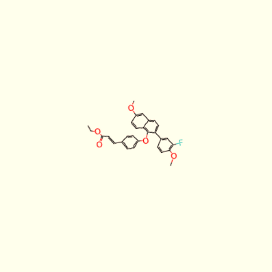 CCOC(=O)C=Cc1ccc(Oc2c(-c3ccc(OC)c(F)c3)ccc3cc(OC)ccc23)cc1